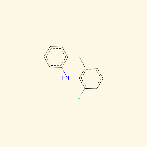 Cc1cccc(F)c1Nc1ccccc1